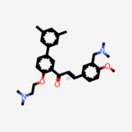 COc1ccc(/C=C/C(=O)c2cc(-c3cc(C)cc(C)c3)ccc2OCCN(C)C)cc1CN(C)C